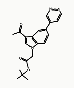 CC(=O)c1cn(CC(=O)OC(C)(C)C)c2ccc(-c3ccnnc3)cc12